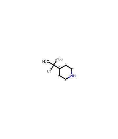 CCCCC(C)(CC)C1CCNCC1